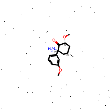 COc1cccc([C@]2(N)C[C@@H](C)C[C@@H](OC)C2=O)c1